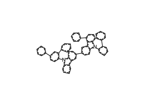 c1ccc(-c2ccc(-n3c4ccccc4c4cc(-c5ccc6c(c5)c5c(-c7ccccc7)cccc5n6-c5ccccc5-c5ccccc5)ccc43)c(-c3ccccc3)c2)cc1